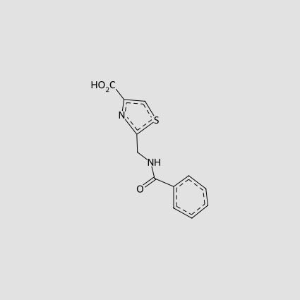 O=C(NCc1nc(C(=O)O)cs1)c1ccccc1